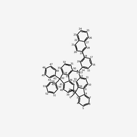 CC1(C)c2ccccc2-c2ccc(N(c3cccc(-c4ccc5ccccc5c4)c3)c3cccc4c3-c3ccccc3C4(c3ccccc3)c3ccccc3)cc21